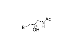 CC(=O)NC[C@H](O)CBr